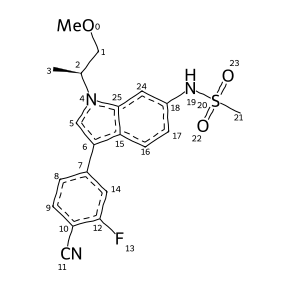 COC[C@H](C)n1cc(-c2ccc(C#N)c(F)c2)c2ccc(NS(C)(=O)=O)cc21